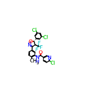 Cc1ccc(C2=NO[C@H](c3cc(Cl)cc(Cl)c3)C2C(F)(F)F)cc1NC(=O)c1ccc(Cl)nc1